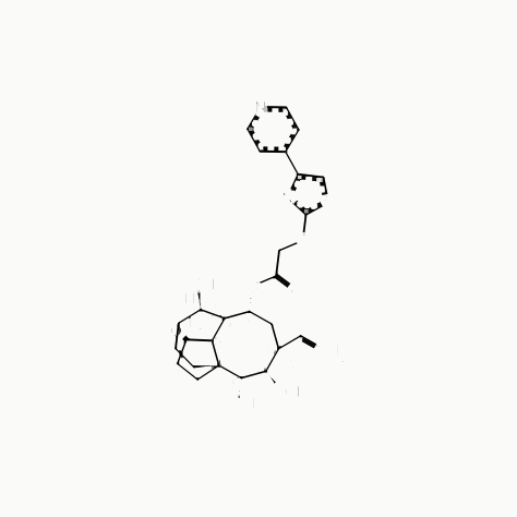 C=C[C@]1(C)C[C@@H](OC(=O)CSc2nc(-c3ccncc3)cs2)[C@]2(C)[C@H](C)CCC[C@]3(CCC(=O)[C@H]32)[C@@H](C)[C@@H]1O